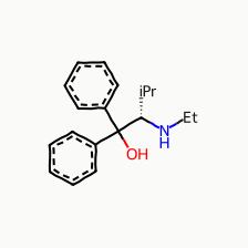 CCN[C@@H](C(C)C)C(O)(c1ccccc1)c1ccccc1